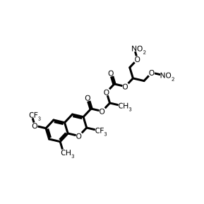 Cc1cc(OC(F)(F)F)cc2c1OC(C(F)(F)F)C(C(=O)OC(C)OC(=O)OC(CO[N+](=O)[O-])CO[N+](=O)[O-])=C2